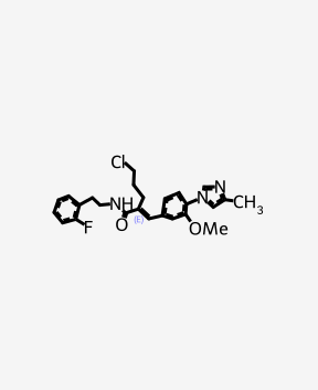 COc1cc(/C=C(\CCCCl)C(=O)NCCc2ccccc2F)ccc1-n1cnc(C)c1